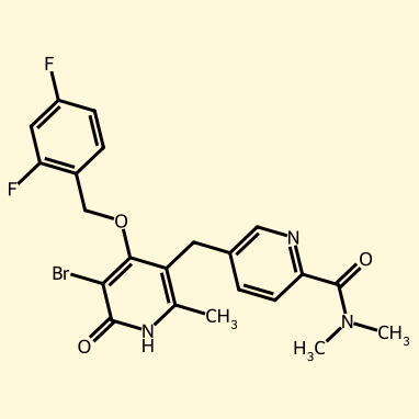 Cc1[nH]c(=O)c(Br)c(OCc2ccc(F)cc2F)c1Cc1ccc(C(=O)N(C)C)nc1